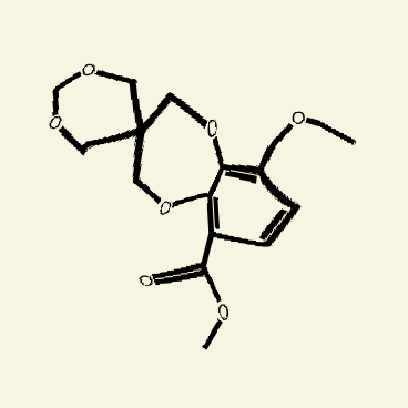 COC(=O)c1ccc(OC)c2c1OCC1(COCOC1)CO2